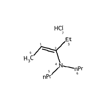 CC=C(CC)N(CCC)CCC.Cl